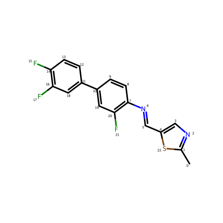 Cc1ncc(/C=N/c2ccc(-c3ccc(F)c(F)c3)cc2F)s1